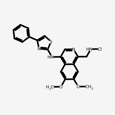 COc1cc2c(Nc3nc(-c4ccccc4)cs3)cnc(CNCl)c2cc1OC